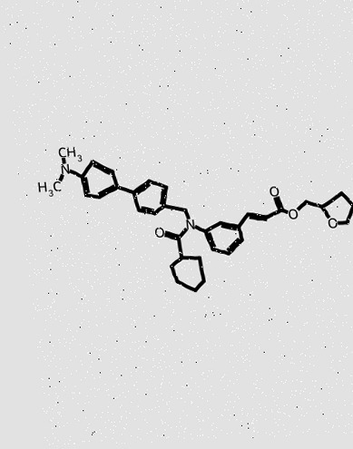 CN(C)c1ccc(-c2ccc(CN(C(=O)C3CCCCC3)c3cccc(/C=C/C(=O)OCC4CCCO4)c3)cc2)cc1